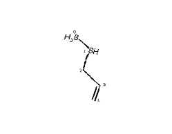 BBCC=C